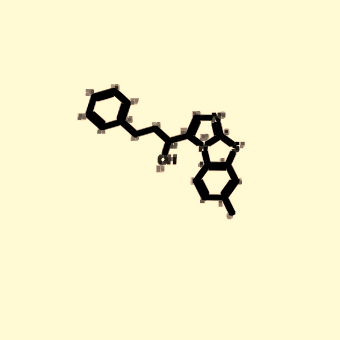 Cc1ccc2c(c1)sc1ncc(C(O)CCc3ccccc3)n12